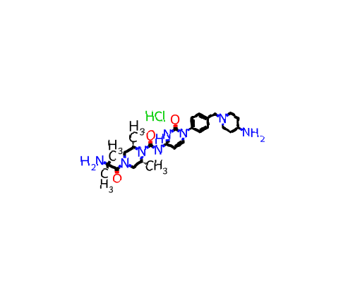 C[C@@H]1CN(C(=O)C(C)(C)N)C[C@H](C)N1C(=O)Nc1ccn(-c2ccc(CN3CCC(N)CC3)cc2)c(=O)n1.Cl